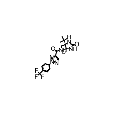 CC(C)(C)C1(CNC(=O)c2cnn(-c3ccc(C(F)(F)F)cc3)n2)NC(=O)NC1=O